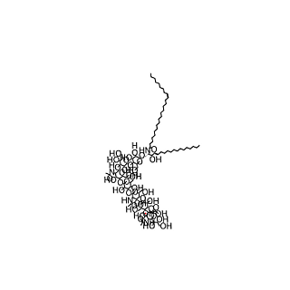 CCCCCCCC/C=C\CCCCCCCCCCCCCCCC(=O)N[C@@H](CO[C@@H]1OC(CO)[C@@H](O[C@@H]2OC(CO)[C@H](O)[C@H](O[C@@H]3OC(CO)[C@@H](O[C@@H]4OC(CO)[C@H](O)[C@H](O[C@@H]5OC(CO)[C@@H](O[C@@H]6OC(CO)[C@H](O)[C@H](O[C@]7(C(=O)O)CC(O)[C@@H](NC(C)=O)C([C@H](O)[C@H](O)CO)O7)C6O)[C@H](O)C5NC(C)=O)C4O)[C@H](O)C3NC(C)=O)C2O)[C@H](O)C1O)[C@H](O)/C=C/CCCCCCCCCCCCC